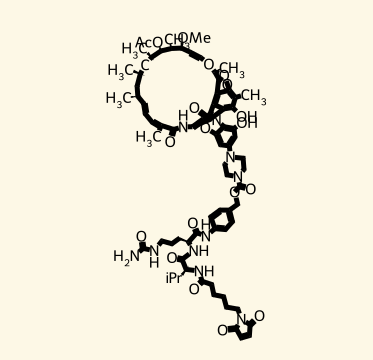 CO[C@H]1/C=C/O[C@@]2(C)Oc3c(C)c(O)c4c(=O)c(c5oc6cc(N7CCN(C(=O)OCc8ccc(NC(=O)[C@H](CCCNC(N)=O)NC(=O)[C@@H](NC(=O)CCCCCN9C(=O)C=CC9=O)C(C)C)cc8)CC7)cc(O)c6nc-5c4c3C2=O)NC(=O)/C(C)=C\C=C\[C@H](C)C[C@@H](C)C[C@@H](C)[C@H](OC(C)=O)[C@@H]1C